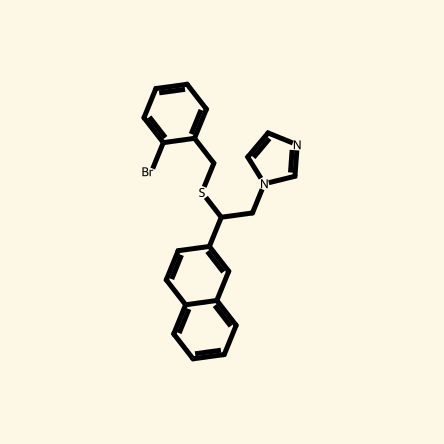 Brc1ccccc1CSC(Cn1ccnc1)c1ccc2ccccc2c1